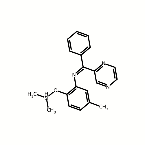 Cc1ccc(O[SiH](C)C)c(N=C(c2ccccc2)c2cnccn2)c1